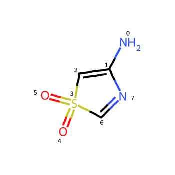 NC1=CS(=O)(=O)C=N1